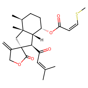 C=C1COC(=O)[C@@]12C[C@@]1(C)[C@H]([C@@H](OC(=O)/C=C\SC)CC[C@@H]1C)[C@H]2C(=O)C=C(C)C